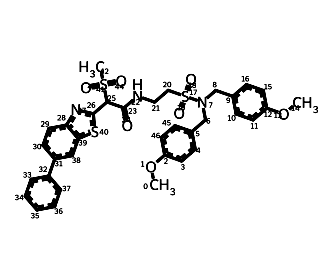 COc1ccc(CN(Cc2ccc(OC)cc2)S(=O)(=O)CCNC(=O)C(c2nc3ccc(-c4ccccc4)cc3s2)S(C)(=O)=O)cc1